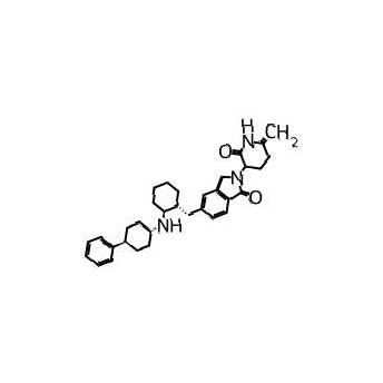 C=C1CCC(N2Cc3cc(C[C@H]4CCCC[C@@H]4N[C@H]4CC[C@H](c5ccccc5)CC4)ccc3C2=O)C(=O)N1